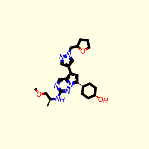 COC[C@H](C)Nc1ncc2c(-c3cnn(CC4CCCO4)c3)cc([C@H]3CC[C@H](O)CC3)n2n1